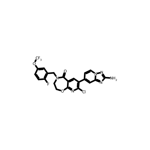 Nc1nc2cc(-c3cc4c(nc3Cl)OCCN(Cc3cc(OC(F)(F)F)ccc3F)C4=O)ccn2n1